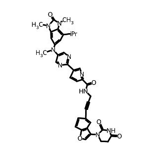 CC(C)c1cc(N(C)c2cnc(-c3ccc(C(=O)NCC#Cc4ccc5occ(N6CCC(=O)NC6=O)c5c4)nc3)nc2)cc2c1n(C)c(=O)n2C